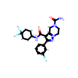 NC(=O)N1CCn2nc(-c3cccc(F)c3)c(C(=O)NC3CCC(F)(F)CC3)c2C1